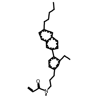 C=CC(=O)N(C)CCCc1ccc(-c2ccc3cc(CCCCC)ccc3c2)c(CC)c1